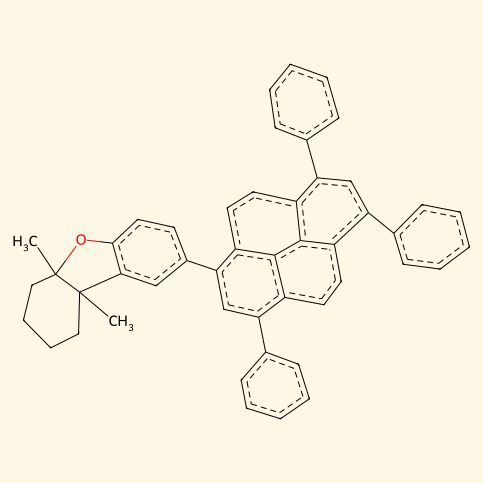 CC12CCCCC1(C)c1cc(-c3cc(-c4ccccc4)c4ccc5c(-c6ccccc6)cc(-c6ccccc6)c6ccc3c4c56)ccc1O2